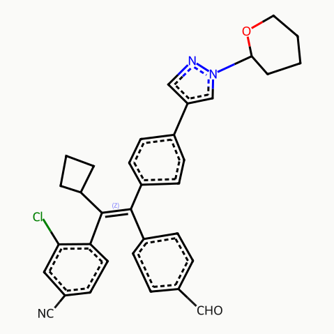 N#Cc1ccc(/C(=C(\c2ccc(C=O)cc2)c2ccc(-c3cnn(C4CCCCO4)c3)cc2)C2CCC2)c(Cl)c1